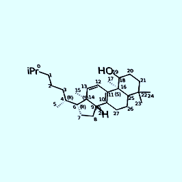 CC(C)CCC[C@@H](C)[C@H]1CC[C@H]2C3=C(C=C[C@]12C)[C@@]1(C)C(O)CCC(C)(C)C1CC3